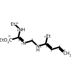 C=C/C=C(\CC)NC/N=C(\NCC)C(=O)OCC